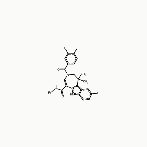 CC(C)NC(=O)C1=CN(C(=O)c2ccc(F)c(F)c2)CC(C)(C)c2c1[nH]c1ccc(F)cc21